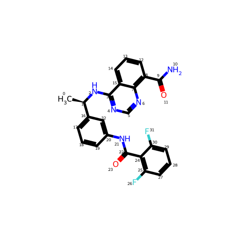 C[C@@H](Nc1ncnc2c(C(N)=O)cccc12)c1cccc(NC(=O)c2c(F)cccc2F)c1